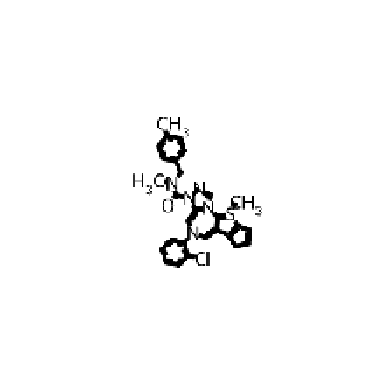 Cc1ccc(CN(C)C(=O)N2N=CN3C2=CN(c2ccccc2Cl)C=C2C4=C(C=CC4)S(C)=C23)cc1